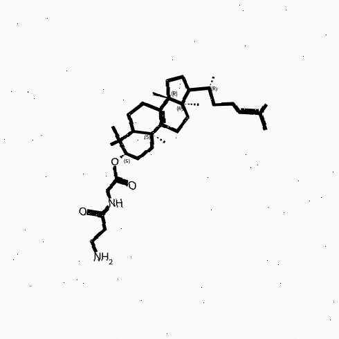 CC(C)=CCC[C@@H](C)C1CC[C@@]2(C)C3=C(CC[C@]12C)[C@@]1(C)CC[C@H](OC(=O)CNC(=O)CCN)C(C)(C)C1CC3